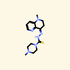 CN1CCN(C(=S)N/N=C2/CCN(C)c3cccnc32)CC1